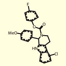 COc1ccc(C2c3[nH]c4cccc(Cl)c4c3CCN2C(=O)Oc2ccc(F)cc2)cc1